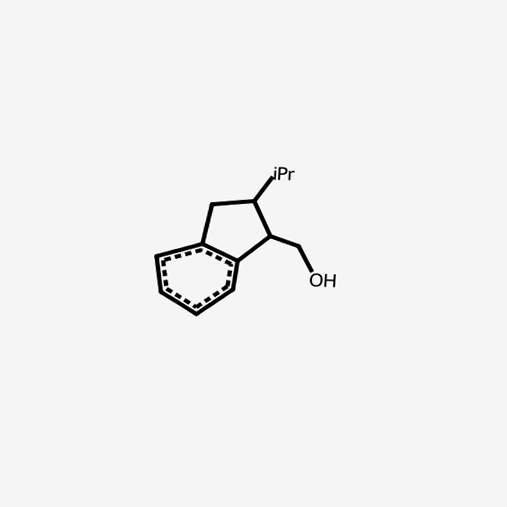 CC(C)C1Cc2ccccc2C1CO